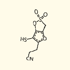 N#CCCc1oc2c(c1S)OS(=O)(=O)C2